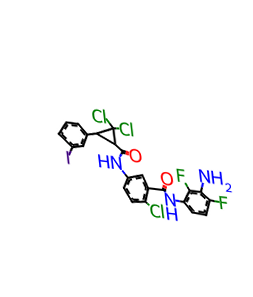 Nc1c(F)ccc(NC(=O)c2cc(NC(=O)C3C(c4cccc(I)c4)C3(Cl)Cl)ccc2Cl)c1F